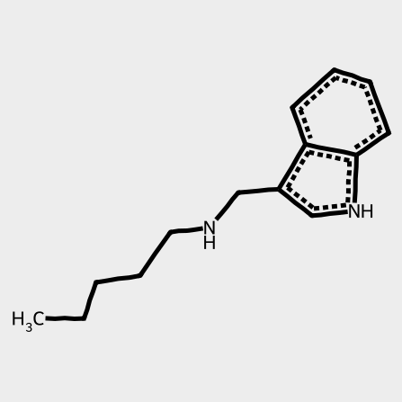 CCCCCNCc1c[nH]c2ccccc12